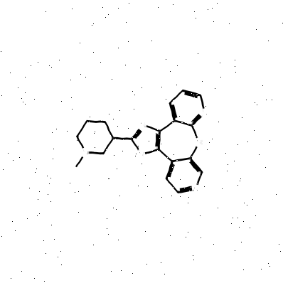 CN1CCCC(c2nc3c([nH]2)-c2ccncc2Nc2ncccc2-3)C1